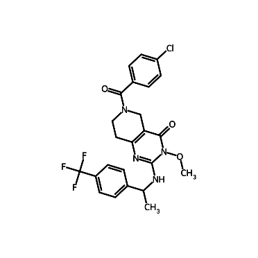 COn1c(NC(C)c2ccc(C(F)(F)F)cc2)nc2c(c1=O)CN(C(=O)c1ccc(Cl)cc1)CC2